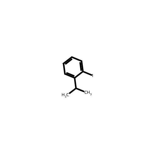 CC(C)c1c[c]ccc1I